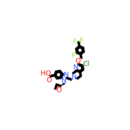 O=C(O)c1ccc2nc(CN3CCc4cc(Cl)c(OCc5ccc(C(F)F)cc5F)nc4C3)n(C[C@@H]3CCO3)c2c1